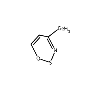 [GeH3][C]1=NSOC=C1